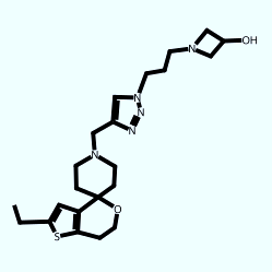 CCc1cc2c(s1)CCOC21CCN(Cc2cn(CCCN3CC(O)C3)nn2)CC1